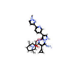 Cn1ccc(-c2ccc(-c3cnn4c(N)c(C5CC5)c([C@@H]5C[C@H]6CC[C@@H](C5)N6C(=O)CO)nc34)cn2)n1